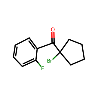 O=C(c1ccccc1F)C1(Br)CCCC1